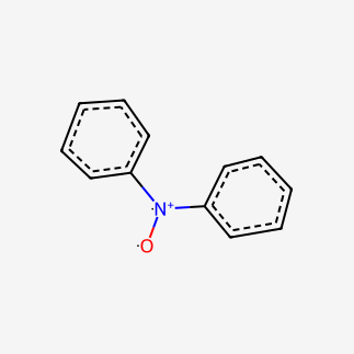 [O][N+](c1ccccc1)c1ccccc1